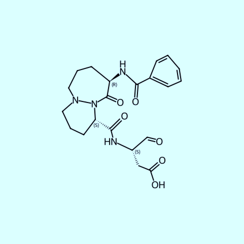 O=C[C@H](CC(=O)O)NC(=O)[C@@H]1CCCN2CCC[C@@H](NC(=O)c3ccccc3)C(=O)N12